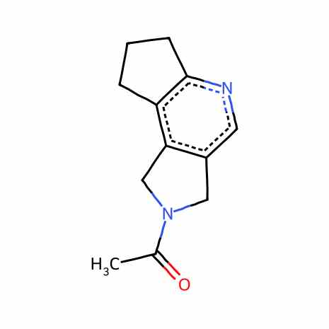 CC(=O)N1Cc2cnc3c(c2C1)CCC3